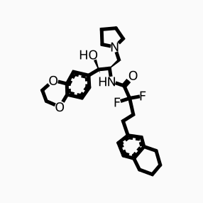 O=C(N[C@H](CN1CCCC1)[C@H](O)c1ccc2c(c1)OCCO2)C(F)(F)CCc1ccc2c(c1)CCCC2